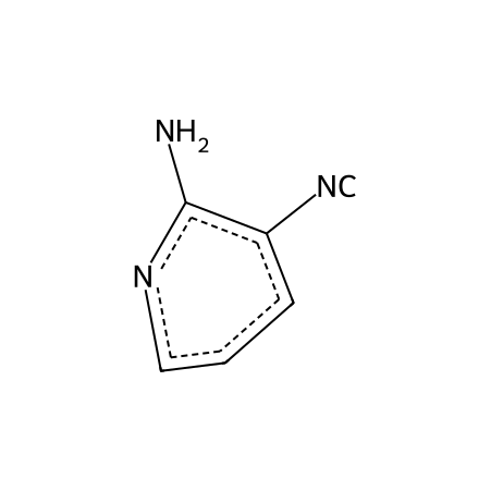 [C-]#[N+]c1cccnc1N